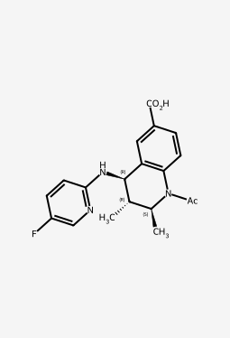 CC(=O)N1c2ccc(C(=O)O)cc2[C@H](Nc2ccc(F)cn2)[C@@H](C)[C@@H]1C